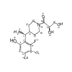 N[C@H](c1c(O)cc(Cl)c(Cl)c1F)C1CCN(C(=O)[C@H](O)CO)CC1